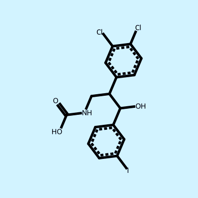 O=C(O)NCC(c1ccc(Cl)c(Cl)c1)C(O)c1cccc(I)c1